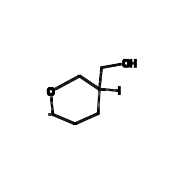 OCC1(I)CC[CH]OC1